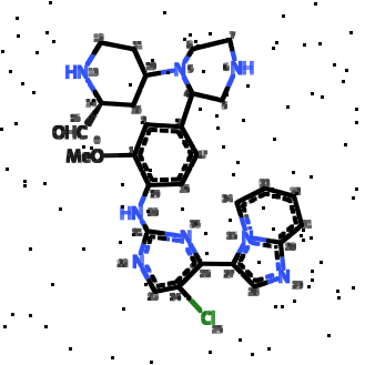 COc1cc(C2CNCCN2C2CCN[C@H](C=O)C2)ccc1Nc1ncc(Cl)c(-c2cnc3ccccn23)n1